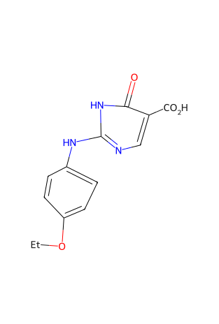 CCOc1ccc(Nc2ncc(C(=O)O)c(=O)[nH]2)cc1